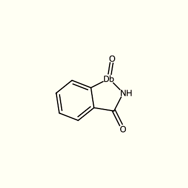 O=C1[NH][Db](=[O])[c]2ccccc21